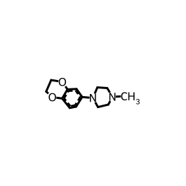 CN1CCN(c2ccc3c(c2)OCCO3)CC1